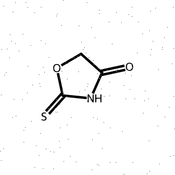 O=C1COC(=S)N1